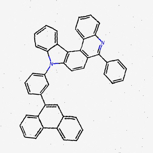 c1ccc(-c2nc3ccccc3c3c2ccc2c3c3ccccc3n2-c2cccc(-c3cc4ccccc4c4ccccc34)c2)cc1